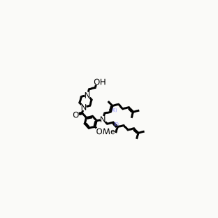 COc1ccc(C(=O)N2CCN(CCO)CC2)cc1N(C/C=C(\C)CCC=C(C)C)C/C=C(\C)CCC=C(C)C